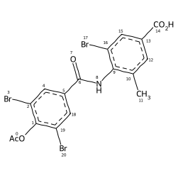 CC(=O)Oc1c(Br)cc(C(=O)Nc2c(C)cc(C(=O)O)cc2Br)cc1Br